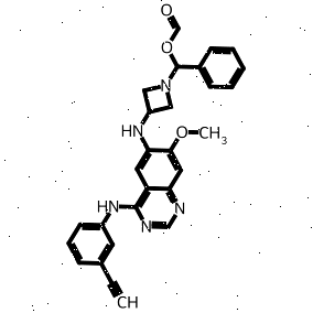 C#Cc1cccc(Nc2ncnc3cc(OC)c(NC4CN(C(OC=O)c5ccccc5)C4)cc23)c1